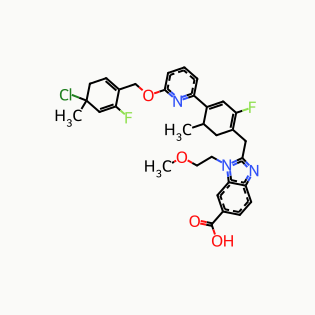 COCCn1c(CC2=C(F)C=C(c3cccc(OCC4=CCC(C)(Cl)C=C4F)n3)C(C)C2)nc2ccc(C(=O)O)cc21